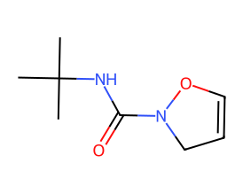 CC(C)(C)NC(=O)N1CC=CO1